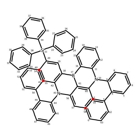 c1ccc(-c2ccccc2N2c3ccccc3B3c4cc([Si](c5ccccc5)(c5ccccc5)c5ccccc5)ccc4N(c4ccccc4-c4ccccc4)c4cccc2c43)cc1